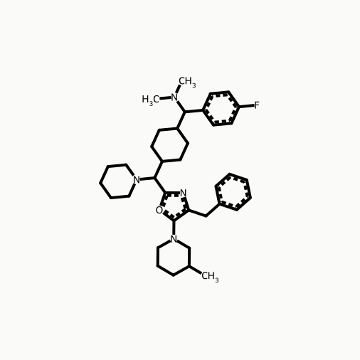 CC1CCCN(c2oc(C(C3CCC(C(c4ccc(F)cc4)N(C)C)CC3)N3CCCCC3)nc2Cc2ccccc2)C1